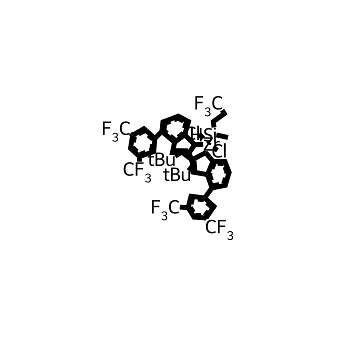 C[SiH](CCC(F)(F)F)[Zr]([Cl])([Cl])([CH]1C(CC(C)(C)C)=Cc2c(-c3cc(C(F)(F)F)cc(C(F)(F)F)c3)cccc21)[CH]1C(CC(C)(C)C)=Cc2c(-c3cc(C(F)(F)F)cc(C(F)(F)F)c3)cccc21